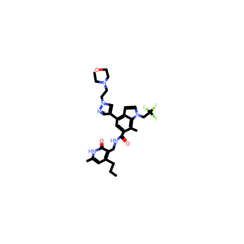 CCCc1cc(C)[nH]c(=O)c1CNC(=O)c1cc(-c2cnn(CCN3CCOCC3)c2)c2ccn(CC(F)(F)F)c2c1C